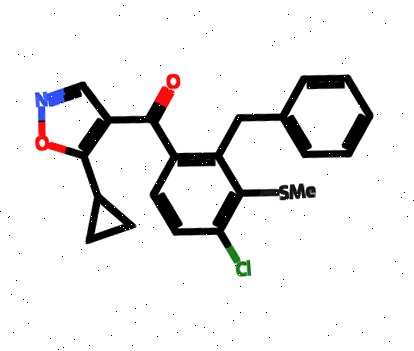 CSc1c(Cl)ccc(C(=O)c2cnoc2C2CC2)c1Cc1ccccc1